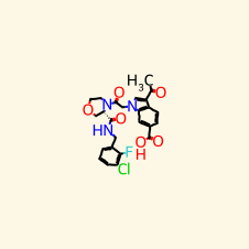 CC(=O)c1cn(CC(=O)N2CCOC[C@H]2C(=O)NCc2cccc(Cl)c2F)c2cc(C(=O)O)ccc12